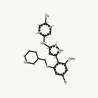 COc1cc(Br)cc(OCC2CCCNC2)c1-c1cc(Nc2cnc(C#N)cn2)n[nH]1